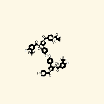 CN(C(=O)c1ccc(Cl)c(C(F)(F)F)c1)C1CN(C(=O)C2CCNCC2)CC1c1ccc(Cl)cc1.CN(C(=O)c1ccc(Cl)c(C(F)(F)F)c1)[C@@H]1CN(C(=O)C2CCN(C(=O)C3(C)CC3)CC2)C[C@H]1c1ccc(Cl)cc1